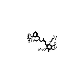 CCOP(=O)(OCC)OCCN(CC(C)=CCc1c(OC)c(C)c2c(c1OCC[Si](C)(C)C)C(=O)OC2)Cc1ccccc1